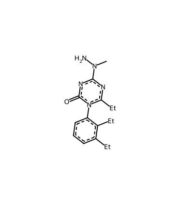 CCc1cccc(-n2c(CC)nc(N(C)N)nc2=O)c1CC